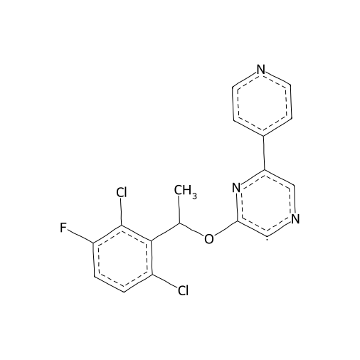 CC(Oc1[c]ncc(-c2ccncc2)n1)c1c(Cl)ccc(F)c1Cl